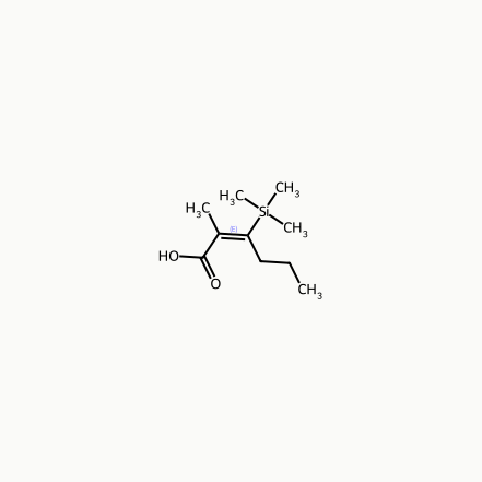 CCC/C(=C(/C)C(=O)O)[Si](C)(C)C